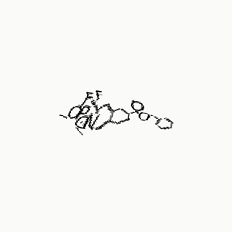 CCOP(OCC)C(F)(F)c1cc2cc(C(=O)OCc3ccccc3)ccc2cn1